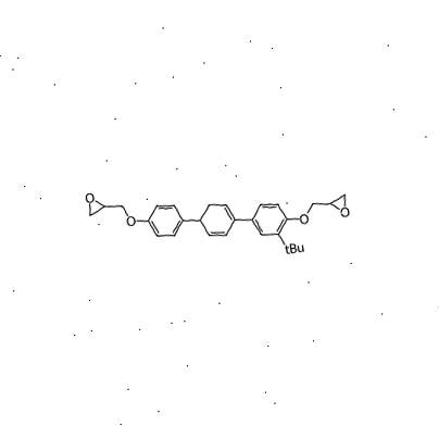 CC(C)(C)c1cc(C2=CCC(c3ccc(OCC4CO4)cc3)C=C2)ccc1OCC1CO1